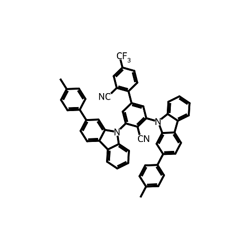 Cc1ccc(-c2ccc3c4ccccc4n(-c4cc(-c5ccc(C(F)(F)F)cc5C#N)cc(-n5c6ccccc6c6ccc(-c7ccc(C)cc7)cc65)c4C#N)c3c2)cc1